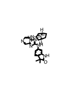 CN1[C@@H]2CC[C@H]1C[C@H](N[N+]13C=CN=CC1=NC(Nc1ccc4c(c1)NC(=O)C4(C)C)=N3)C2